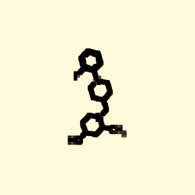 CC1CC(O)CCN1CC1CCN(c2ccccc2F)CC1